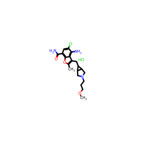 COCCCN1CC2C(Cc3c(C)oc4c(C(N)=O)cc(Cl)c(N)c34)C2C1.Cl